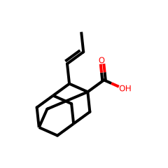 CC=CC1C2CC3CC(C2)CC1(C(=O)O)C3